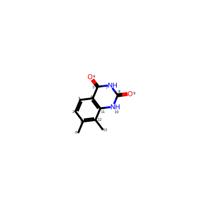 Cc1ccc2c(=O)[nH]c(=O)[nH]c2c1C